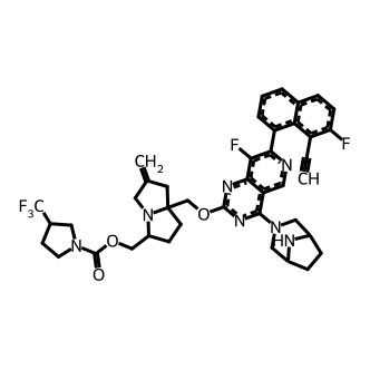 C#Cc1c(F)ccc2cccc(-c3ncc4c(N5CC6CCC(C5)N6)nc(OCC56CCC(COC(=O)N7CCC(C(F)(F)F)C7)N5CC(=C)C6)nc4c3F)c12